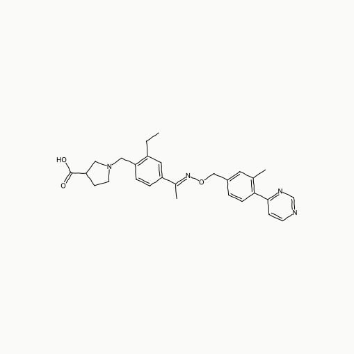 CCc1cc(C(C)=NOCc2ccc(-c3ccncn3)c(C)c2)ccc1CN1CCC(C(=O)O)C1